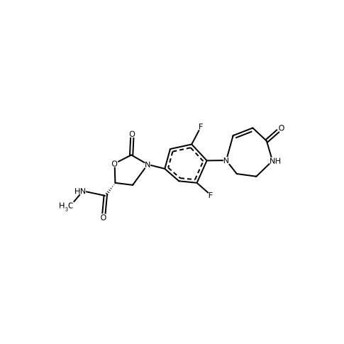 CNC(=O)[C@H]1CN(c2cc(F)c(N3C=CC(=O)NCC3)c(F)c2)C(=O)O1